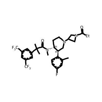 CCC(=O)N1CC(N2CC[C@@H](N(C)C(=O)C(C)(C)c3cc(C(F)(F)F)cc(C(F)(F)F)c3)[C@H](c3ccc(F)cc3C)C2)C1